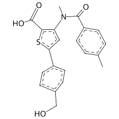 Cc1ccc(C(=O)N(C)c2cc(-c3ccc(CO)cc3)sc2C(=O)O)cc1